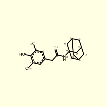 O=C(Cc1cc(Cl)c(O)c(Cl)c1)NC12CC3CC(CC(C3)C1)C2